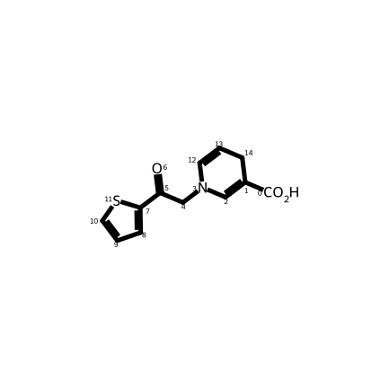 O=C(O)C1=CN(CC(=O)c2cccs2)C=CC1